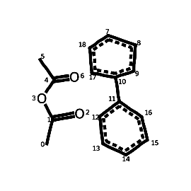 CC(=O)OC(C)=O.c1ccc(-c2ccccc2)cc1